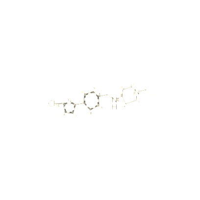 CCN1CCC(NCc2ccc(-c3ccc(Cl)s3)cc2)CC1